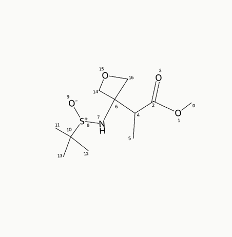 COC(=O)C(C)C1(N[S+]([O-])C(C)(C)C)COC1